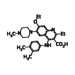 CCOc1cc2nc(CC)c(C(=O)O)c(Nc3ccc(C)c(C)c3)c2cc1N1CCN(C)CC1